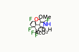 COC(=O)C1=C(CF)NC(COC(C)=O)=C(C(=O)O)C1c1cc(F)cc(F)c1C1CC1(F)F